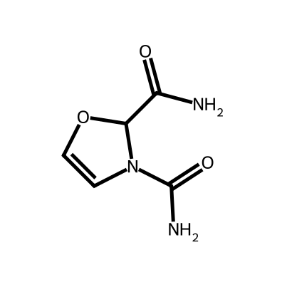 NC(=O)C1OC=CN1C(N)=O